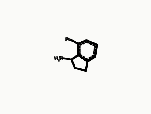 CC(C)c1cccc2c1C(N)CC2